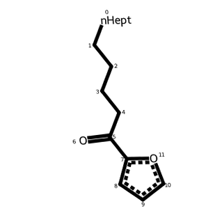 CCCCCCCCCCCC(=O)c1ccco1